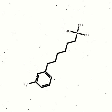 O[Si](O)(O)CCCCCCc1cccc(C(F)(F)F)c1